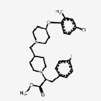 COC(=O)[C@H](Cc1ccc(F)cc1)N1CCC(CN2CCC(Oc3ccc(Cl)cc3C)CC2)CC1